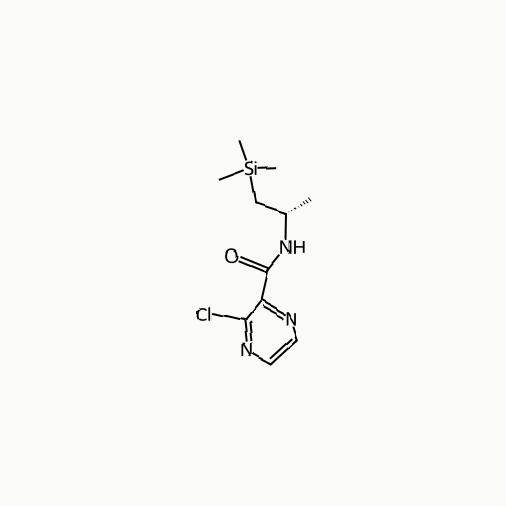 C[C@@H](C[Si](C)(C)C)NC(=O)c1nccnc1Cl